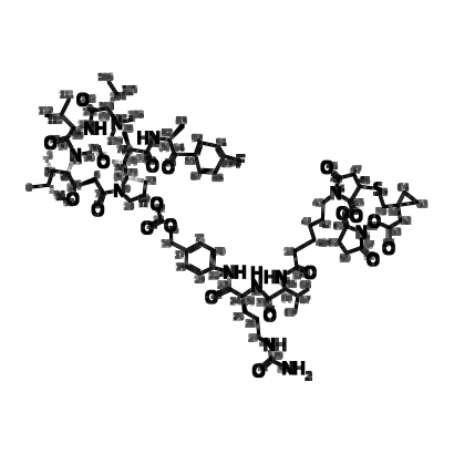 CC[C@H](C)[C@@H]([C@@H](CC(=O)N1C[C@@H](OC(=O)OCc2ccc(NC(=O)[C@H](CCCNC(N)=O)NC(=O)[C@@H](NC(=O)CCCCCN3C(=O)CC(SCC4(CC(=O)ON5C(=O)CCC5=O)CC4)C3=O)C(C)C)cc2)C[C@H]1[C@H](OC)[C@@H](C)C(=O)N[C@@H](C)C(=O)c1ccc(F)cc1)OC)N(C)C(=O)[C@@H](NC(=O)[C@H](C(C)C)N(C)C)C(C)C